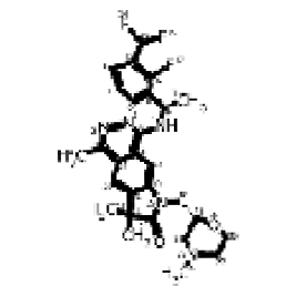 Cc1nnc(N[C@H](C)c2cccc(C(F)F)c2F)c2cc3c(cc12)C(C)(C)C(=O)N3C[C@H]1CN(C)CCO1